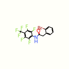 O=C(Cc1ccccc1Br)Nc1c(F)c(F)c(C(F)(F)F)c(F)c1F